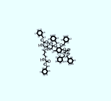 O=C(NCCCC[C@H](NC(=O)OCc1ccccc1)C(=O)N[C@@H](Cc1ccc(OP(=O)(OCc2ccccc2)OCc2ccccc2)c(OCc2ccccc2)c1)C(=O)OCc1ccccc1)OCc1ccccc1